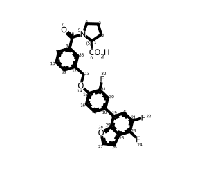 O=C(O)[C@@H]1CCCN1C(=O)c1cccc(COc2ccc(-c3cc(F)c(F)c4ccoc34)cc2F)c1